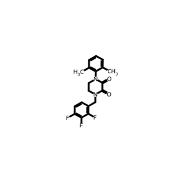 Cc1cccc(C)c1N1CCN(Cc2ccc(F)c(F)c2F)C(=O)C1=O